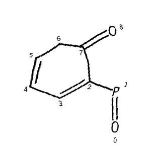 O=PC1=CC=CCC1=O